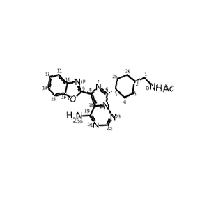 CC(=O)NC[C@H]1CC[C@H](c2nc(-c3nc4ccccc4o3)c3c(N)ncnn32)CC1